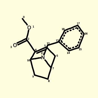 COC(=O)C1=CCC2CCC1N2Cc1ccccc1